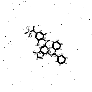 CCc1cc(C(C)S(C)(=O)=O)cc(F)c1N(C)c1cc2c(ncn2C)c(N=C(c2ccccc2)c2ccccc2)n1